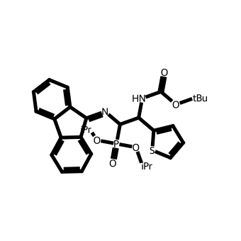 CC(C)OP(=O)(OC(C)C)C(N=C1c2ccccc2-c2ccccc21)C(NC(=O)OC(C)(C)C)c1cccs1